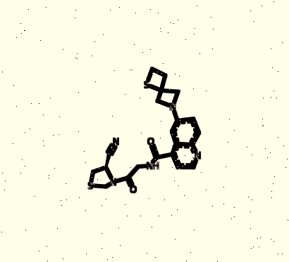 N#C[C@@H]1CSCN1C(=O)CNC(=O)c1ccnc2ccc(N3CC4(CCS4)C3)cc12